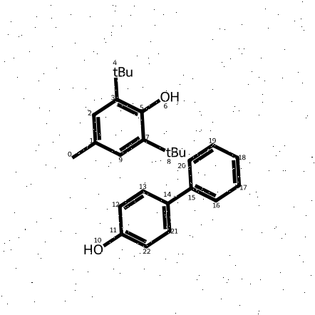 Cc1cc(C(C)(C)C)c(O)c(C(C)(C)C)c1.Oc1ccc(-c2ccccc2)cc1